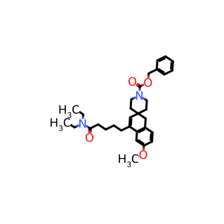 CCN(CC)C(=O)CCCCC1=CC2(CCN(C(=O)OCc3ccccc3)CC2)Cc2ccc(OC)cc21